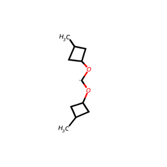 CC1CC(O[CH]OC2CC(C)C2)C1